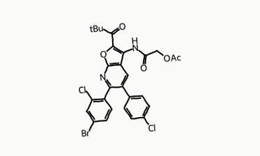 CC(=O)OCC(=O)Nc1c(C(=O)C(C)(C)C)oc2nc(-c3ccc(Br)cc3Cl)c(-c3ccc(Cl)cc3)cc12